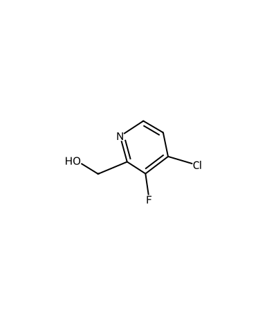 OCc1nccc(Cl)c1F